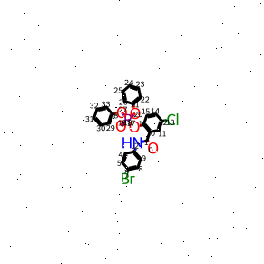 O=C(Nc1ccc(Br)cc1)c1cc(Cl)ccc1OP(=O)(Oc1ccccc1)Oc1ccccc1